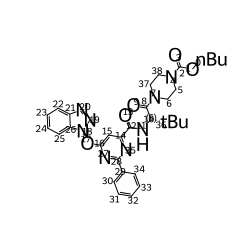 CCCCOC(=O)N1CCN(C(=O)[C@@H](NC(=O)c2cc(On3nnc4ccccc43)nc(-c3ccccc3)n2)C(C)(C)C)CC1